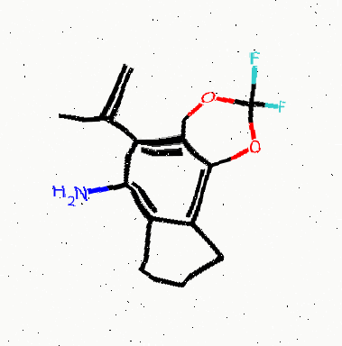 C=C(C)c1c(N)c2c(c3c1OC(F)(F)O3)CCC2